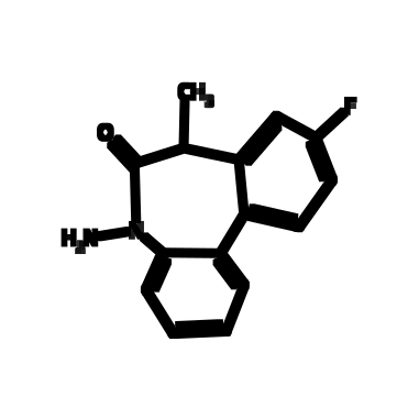 CC1C(=O)N(N)c2ccccc2-c2ccc(F)cc21